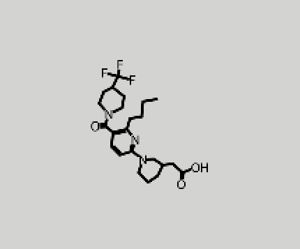 CCCCc1nc(N2CCCC(CC(=O)O)C2)ccc1C(=O)N1CCC(C(F)(F)F)CC1